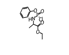 CCOC(=O)C(C)NP(=O)(Cl)Oc1ccccc1